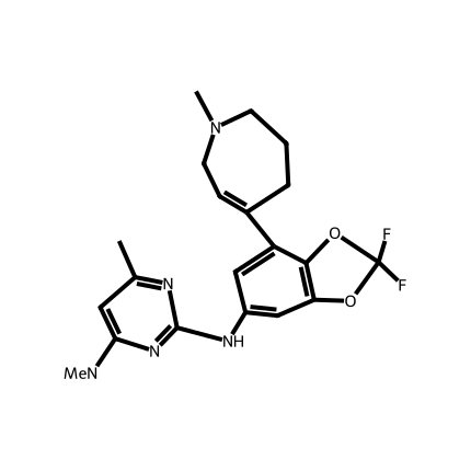 CNc1cc(C)nc(Nc2cc3c(c(C4=CCN(C)CCC4)c2)OC(F)(F)O3)n1